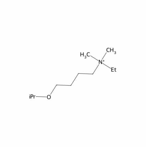 CC[N+](C)(C)CCCCOC(C)C